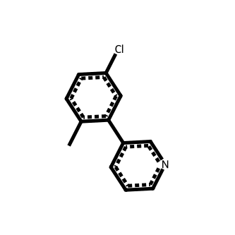 Cc1ccc(Cl)cc1-c1cccnc1